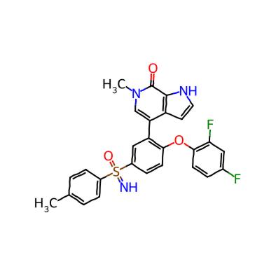 Cc1ccc(S(=N)(=O)c2ccc(Oc3ccc(F)cc3F)c(-c3cn(C)c(=O)c4[nH]ccc34)c2)cc1